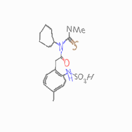 CNC(=S)N(C(=O)Cc1ccc(C)cc1NS(=O)(=O)O)C1CCCCC1